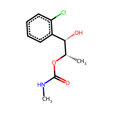 CNC(=O)O[C@@H](C)[C@@H](O)c1ccccc1Cl